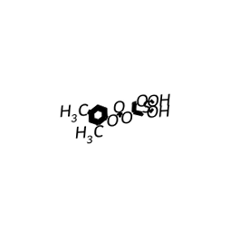 Cc1ccc(OC(=O)OC2COS(O)(O)C2)c(C)c1